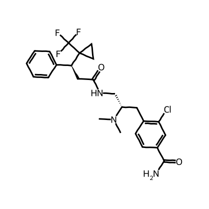 CN(C)[C@H](CNC(=O)C[C@@H](c1ccccc1)C1(C(F)(F)F)CC1)Cc1ccc(C(N)=O)cc1Cl